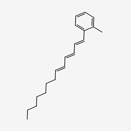 CCCCCCCC=CC=CC=Cc1ccccc1C